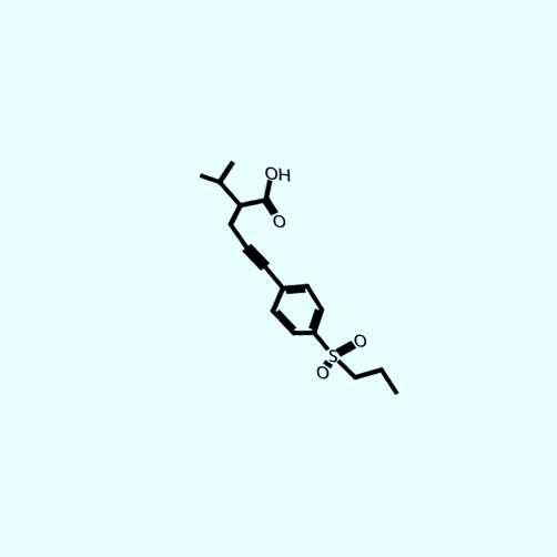 CCCS(=O)(=O)c1ccc(C#CCC(C(=O)O)C(C)C)cc1